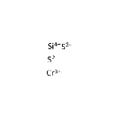 [Cr+3].[S-2].[S-2].[Si+4]